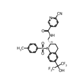 Cc1ccc(S(=O)(=O)N2c3ccc(C(O)(C(F)(F)F)C(F)(F)F)cc3CC[C@H]2CNC(=O)c2ccc(C#N)nc2)cc1